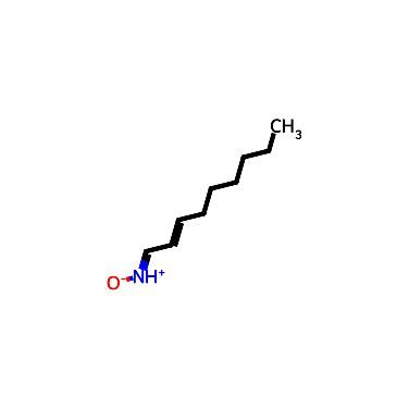 CCCCCCC=CC=[NH+][O-]